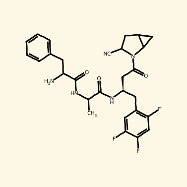 CC(NC(=O)C(N)Cc1ccccc1)C(=O)N[C@@H](CC(=O)N1C(C#N)CC2CC21)Cc1cc(F)c(F)cc1F